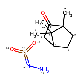 CC12CCC(CC1=O)C2(C)C.NN=S(=O)=O